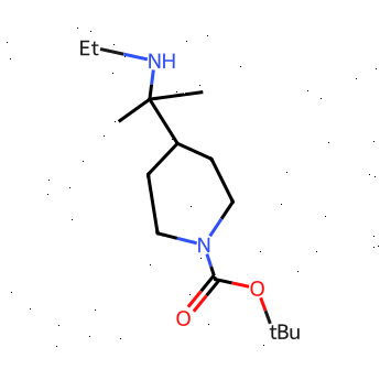 CCNC(C)(C)C1CCN(C(=O)OC(C)(C)C)CC1